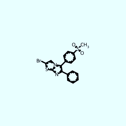 CS(=O)(=O)c1ccc(-c2c(-c3ccccc3)nc3sc(Br)cn23)cc1